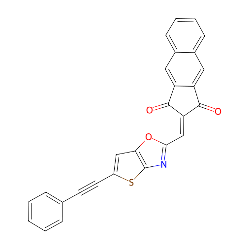 O=C1C(=Cc2nc3sc(C#Cc4ccccc4)cc3o2)C(=O)c2cc3ccccc3cc21